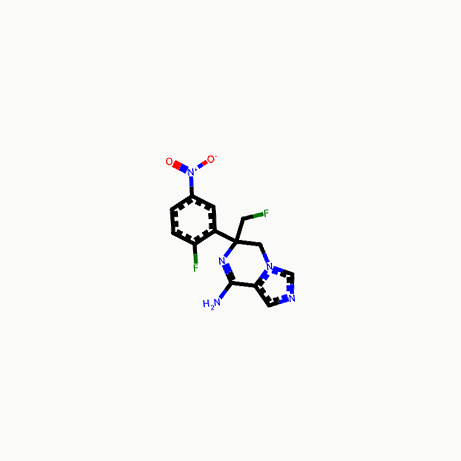 NC1=NC(CF)(c2cc([N+](=O)[O-])ccc2F)Cn2cncc21